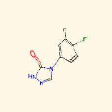 O=c1[nH]ncn1-c1ccc(F)c(F)c1